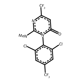 CNc1nc(C(F)(F)F)cc(=O)n1-c1c(Cl)cc(C(F)(F)F)cc1Cl